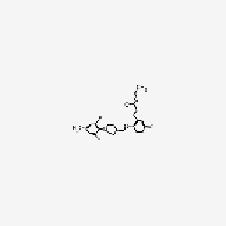 CCOC(=O)CCc1cc(F)ccc1OCC1CCN(c2c(F)cc(C)cc2F)CC1